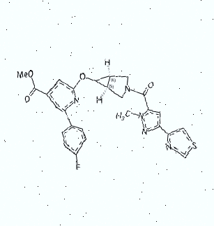 COC(=O)c1cc(OC2[C@H]3CN(C(=O)c4cc(-c5cscn5)nn4C)C[C@@H]23)nc(-c2ccc(F)cc2)c1